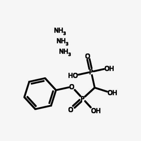 N.N.N.O=P(O)(O)C(O)P(=O)(O)Oc1ccccc1